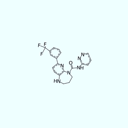 O=C(Nc1cccnn1)N1CCCNc2ccc(-c3cccc(C(F)(F)F)c3)nc21